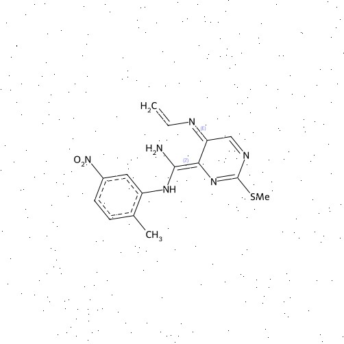 C=C/N=C1/C=NC(SC)=N/C1=C(/N)Nc1cc([N+](=O)[O-])ccc1C